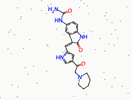 NC(=O)Nc1ccc2c(c1)C(=Cc1cc(C(=O)CN3CCCCC3)c[nH]1)C(=O)N2